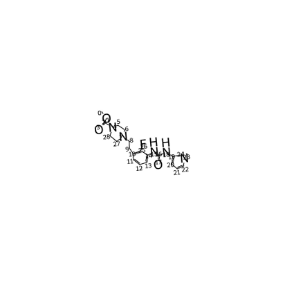 COC(=O)N1CCN(CCc2cccc(NC(=O)Nc3cccnc3)c2F)CC1